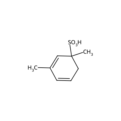 CC1=CC(C)(S(=O)(=O)O)CC=C1